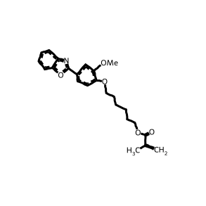 C=C(C)C(=O)OCCCCCCOc1ccc(-c2nc3ccccc3o2)cc1OC